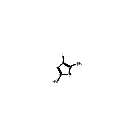 [Li][c]1cc(C(C)(C)C)[nH]c1C(C)(C)C